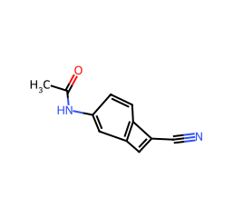 CC(=O)Nc1ccc2c(c1)C=C2C#N